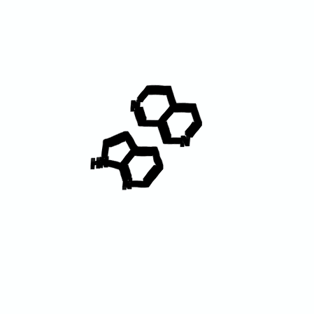 c1cc2ccncc2cn1.c1cnc2[nH]ccc2c1